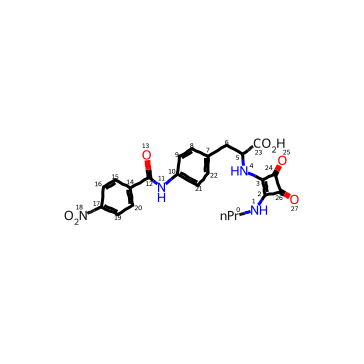 CCCNc1c(NC(Cc2ccc(NC(=O)c3ccc([N+](=O)[O-])cc3)cc2)C(=O)O)c(=O)c1=O